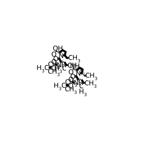 CCC1CC[C@@H](C(=O)O)N1C(=O)[C@H](CC(C)C)NC(=O)OC(C)(C)C.CC[C@H]1CC[C@@H](C(N)=O)N1C(=O)[C@H](CC(C)C)NC(=O)OC(C)(C)C